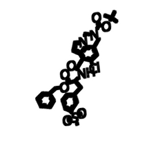 CC(C)(C)OC(=O)N1Cc2cc(Cl)c(C(=O)NC(Cc3cccc(S(C)(=O)=O)c3)C(=O)OCc3ccccc3)c3ccn(c23)C1